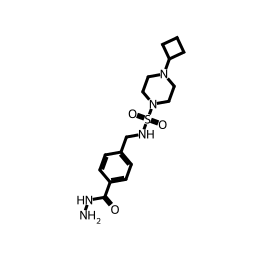 NNC(=O)c1ccc(CNS(=O)(=O)N2CCN(C3CCC3)CC2)cc1